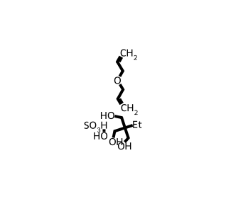 C=CCOCC=C.CCC(CO)(CO)CO.O=S(=O)(O)O